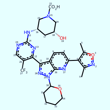 Cc1noc(C)c1-c1ccc2c(-c3nc(N[C@H]4C[C@@H](O)CN(C(=O)O)C4)ncc3C(F)(F)F)nn(C3CCCCO3)c2n1